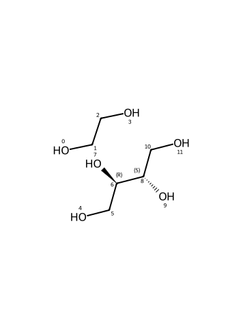 OCCO.OC[C@@H](O)[C@@H](O)CO